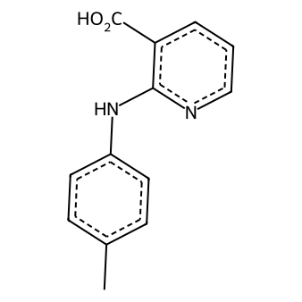 Cc1ccc(Nc2ncccc2C(=O)O)cc1